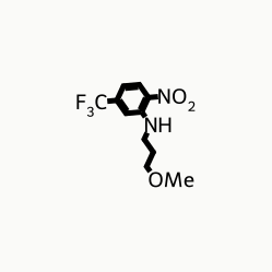 COCCCNc1cc(C(F)(F)F)ccc1[N+](=O)[O-]